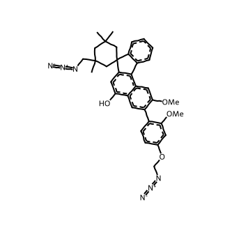 COc1cc(OCN=[N+]=[N-])ccc1-c1cc2c(O)cc3c(c2cc1OC)-c1ccccc1C31CC(C)(C)CC(C)(CN=[N+]=[N-])C1